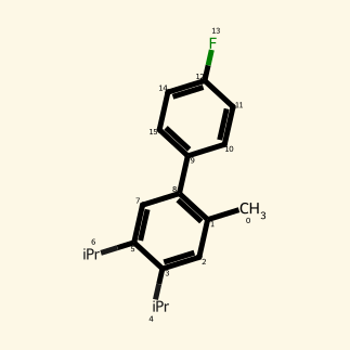 Cc1cc(C(C)C)c(C(C)C)cc1-c1ccc(F)cc1